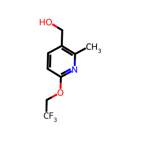 Cc1nc(OCC(F)(F)F)ccc1CO